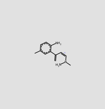 C=C(/C=C\N(C)N)c1cc(C)ccc1N